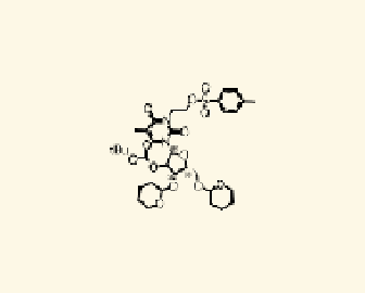 Cc1ccc(S(=O)(=O)OCCn2c(=O)c(C)cn([C@@H]3O[C@H](COC4CCCCO4)[C@H](OC4CCCCO4)C3OC(=O)OC(C)(C)C)c2=O)cc1